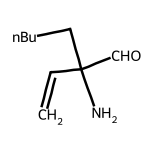 C=CC(N)(C=O)CCCCC